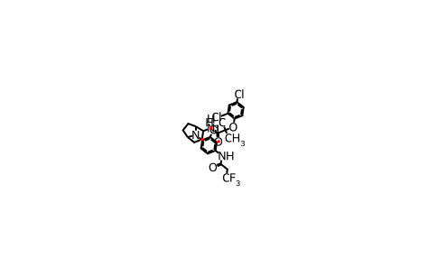 CC(C)(Oc1ccc(Cl)cc1Cl)C(=O)NC1CCC2CCC1N2c1ccc(NC(=O)CC(F)(F)F)cc1Cl